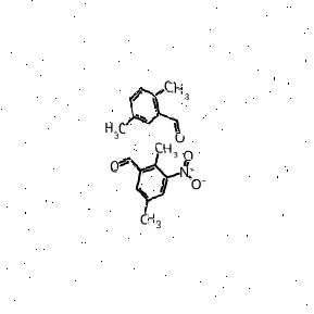 Cc1cc(C=O)c(C)c([N+](=O)[O-])c1.Cc1ccc(C)c(C=O)c1